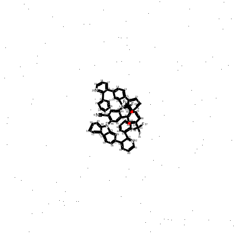 N#Cc1cc(-n2c3ccccc3c3ccc(-c4cccnc4-c4ccccc4)cc32)c(-c2cc(C(F)(F)F)ccc2C(F)(F)F)cc1-n1c2ccccc2c2ccc(-c3cccnc3-c3ccccc3)cc21